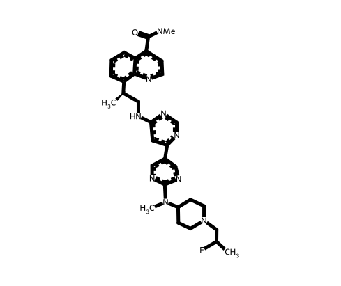 CNC(=O)c1ccnc2c([C@H](C)CNc3cc(-c4cnc(N(C)C5CCN(CC(C)F)CC5)nc4)ncn3)cccc12